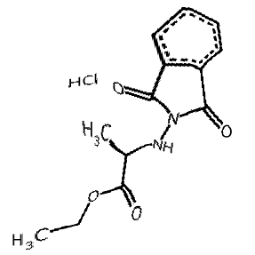 CCOC(=O)C(C)NN1C(=O)c2ccccc2C1=O.Cl